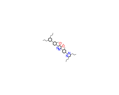 CCCc1cc(CCC)cc(-c2ccc(-c3nnc(-c4ccc(-c5nc(CCC)cc(CCC)n5)cc4C)c(OC)c3OC)c(C)c2)c1